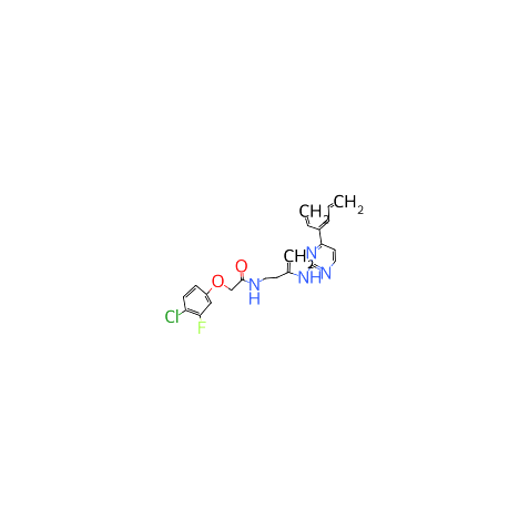 C=C/C=C(\C=C)c1ccnc(NC(=C)CCNC(=O)COc2ccc(Cl)c(F)c2)n1